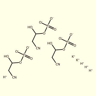 N#CCC(O)OP(=O)([O-])[O-].N#CCC(O)OP(=O)([O-])[O-].N#CCC(O)OP(=O)([O-])[O-].[H+].[H+].[H+].[H+].[K+].[K+]